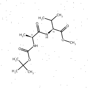 COC(=O)[C@@H](NC(=O)[C@H](C)NC(=O)OC(C)(C)C)C(C)C